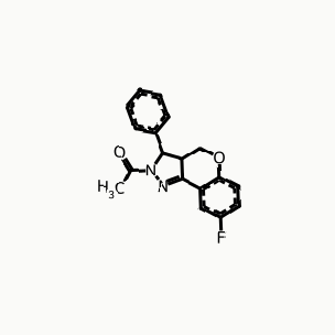 CC(=O)N1N=C2c3cc(F)ccc3OCC2C1c1ccccc1